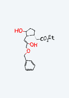 CCOC(=O)C[C@H]1CCC(O)C1C=C(O)COCc1ccccc1